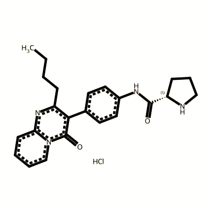 CCCCc1nc2ccccn2c(=O)c1-c1ccc(NC(=O)[C@@H]2CCCN2)cc1.Cl